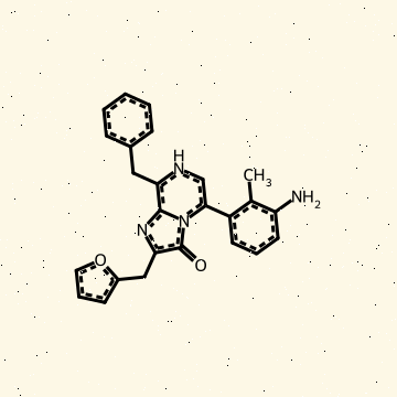 Cc1c(N)cccc1-c1c[nH]c(Cc2ccccc2)c2nc(Cc3ccco3)c(=O)n1-2